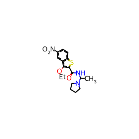 CCOc1c(C(=O)NC(C)N2CCCC2)sc2ccc([N+](=O)[O-])cc12